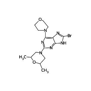 CC1CN(c2nc(N3CCOCC3)c3nc(Br)[nH]c3n2)CC(C)O1